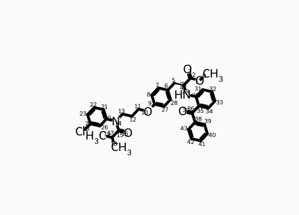 COC(=O)[C@H](Cc1ccc(OCCCN(C(=O)C(C)C)c2cccc(Cl)c2)cc1)Nc1ccccc1C(=O)c1ccccc1